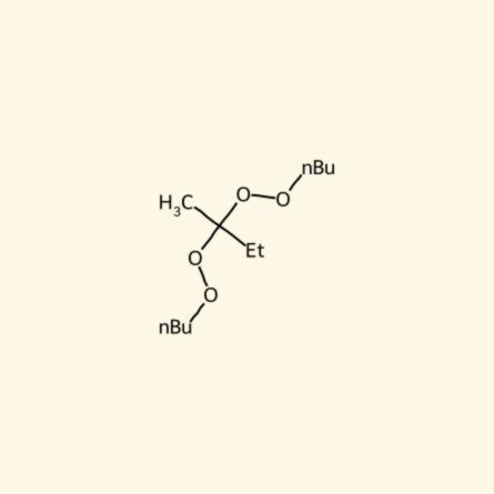 CCCCOOC(C)(CC)OOCCCC